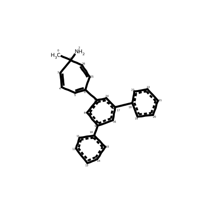 CC1(N)C=CC=C(c2cc(-c3ccccc3)cc(-c3ccccc3)c2)C=C1